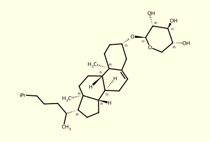 CC(C)CCCC(C)[C@H]1CC[C@H]2[C@@H]3CC=C4C[C@@H](O[C@@H]5OC[C@@H](O)[C@H](O)[C@H]5O)CC[C@]4(C)[C@H]3CC[C@]12C